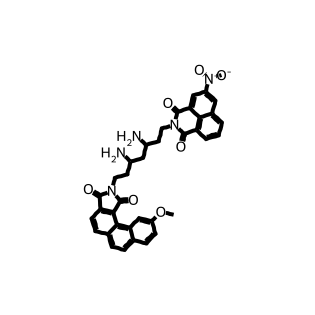 COc1ccc2ccc3ccc4c(c3c2c1)C(=O)N(CCC(N)CC(N)CCN1C(=O)c2cccc3cc([N+](=O)[O-])cc(c23)C1=O)C4=O